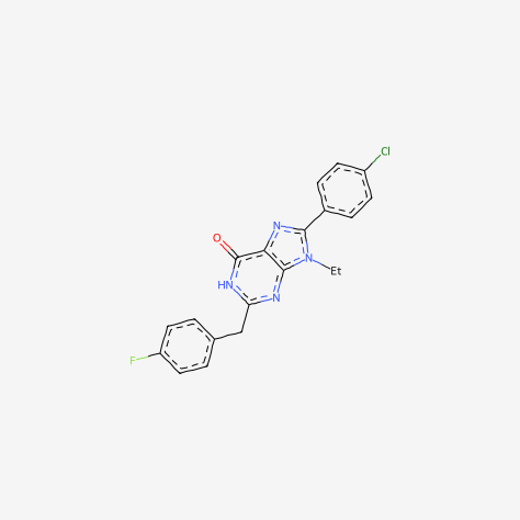 CCn1c(-c2ccc(Cl)cc2)nc2c(=O)[nH]c(Cc3ccc(F)cc3)nc21